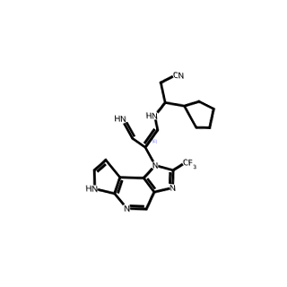 N#CCC(N/C=C(\C=N)n1c(C(F)(F)F)nc2cnc3[nH]ccc3c21)C1CCCC1